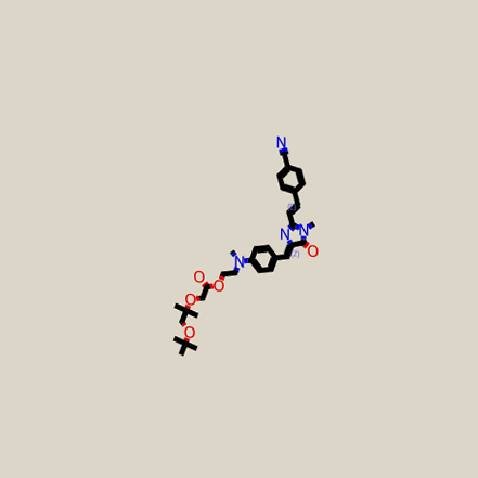 CN1C(=O)/C(=C/c2ccc(N(C)CCOC(=O)COC(C)(C)COC(C)(C)C)cc2)N=C1/C=C/c1ccc(C#N)cc1